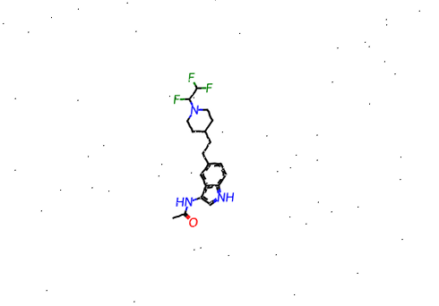 CC(=O)Nc1c[nH]c2ccc(CCC3CCN(C(F)C(F)F)CC3)cc12